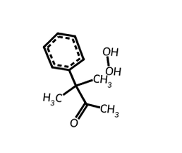 CC(=O)C(C)(C)c1ccccc1.OO